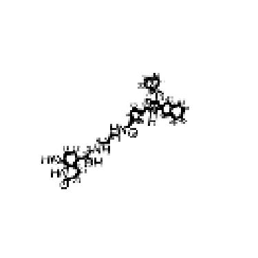 O=C(NCCCCNCC(O)c1ccc(O)c2[nH]c(=O)ccc12)c1ccc(CNC2(C(=O)OC3CN4CCC3CC4)Cc3ccccc3C2)s1